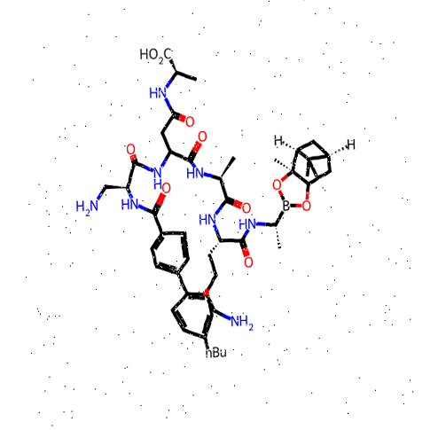 CCCCc1ccc(-c2ccc(C(=O)N[C@@H](CN)C(=O)NC(CC(=O)N[C@H](C)C(=O)O)C(=O)N[C@@H](C)C(=O)N[C@@H](CCCCN)C(=O)N[C@@H](C)B3OC4C[C@@H]5C[C@@H](C5(C)C)[C@]4(C)O3)cc2)cc1